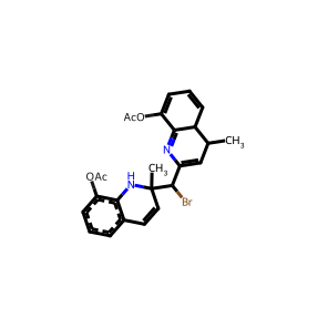 CC(=O)OC1=CC=CC2C1=NC(C(Br)C1(C)C=Cc3cccc(OC(C)=O)c3N1)=CC2C